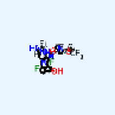 C#Cc1c(F)ccc2cc(O)cc(-c3nc4c5c(nc(OC[C@@]67CCCN6[C@H](COC(C)(C(F)(F)F)C(F)(F)F)CC7)nc5c3F)N3C[C@@H](CC)NC[C@H]3CC4)c12